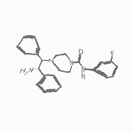 N[C@@H](c1ccccc1)[C@@H](c1ccccc1)N1CCN(C(=O)Nc2cccc(F)c2)CC1